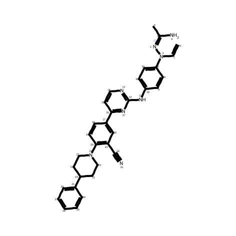 C=CN(/N=C(/C)N)c1ccc(Nc2nccc(-c3ccc(N4CCC(c5ccccc5)CC4)c(C#N)c3)n2)cc1